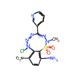 CN1/N=C(/c2cccnc2)N=NN(Cl)c2c([N+](=O)[O-])ccc(N)c2S1(=O)=O